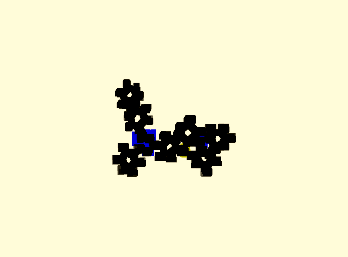 c1ccc(-c2ccc(-c3nc(-c4ccccc4)nc(-c4ccc5sc6c(-n7c8ccccc8c8ccccc87)cccc6c5c4)n3)cc2)cc1